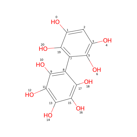 Oc1cc(O)c(O)c(-c2c(O)c(O)c(O)c(O)c2O)c1O